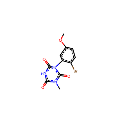 COc1ccc(Br)c(-n2c(=O)[nH]c(=O)n(C)c2=O)c1